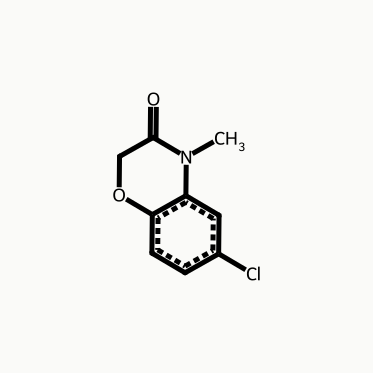 CN1C(=O)COc2ccc(Cl)cc21